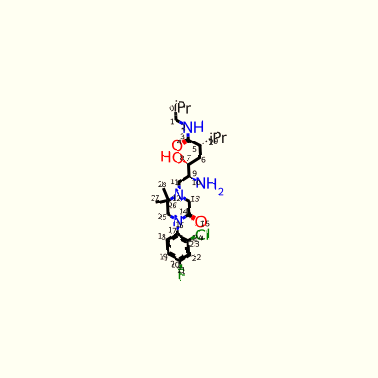 CC(C)CNC(=O)[C@@H](C[C@H](O)[C@@H](N)CN1CC(=O)N(c2ccc(F)cc2Cl)CC1(C)C)C(C)C